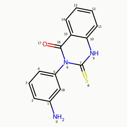 Nc1cccc(-n2c(=S)[nH]c3ccccc3c2=O)c1